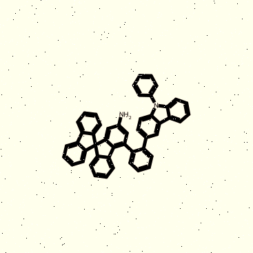 Nc1cc(-c2ccccc2-c2ccc3c(c2)c2ccccc2n3-c2ccccc2)c2c(c1)C1(c3ccccc3-c3ccccc31)c1ccccc1-2